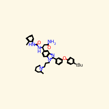 Cc1ccccc1NC(=O)NC(CC(N)=O)c1ccc2c(c1)nc(-c1cccc(Oc3ccc(C(C)(C)C)cc3)c1)n2CCCN1CCCCC1C